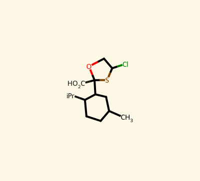 CC1CCC(C(C)C)C(C2(C(=O)O)OCC(Cl)S2)C1